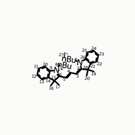 CCCCN1C(=CC=CC2=[N+](CCCC)c3ccccc3C2(C)C)C(C)(C)c2ccccc21.[I-]